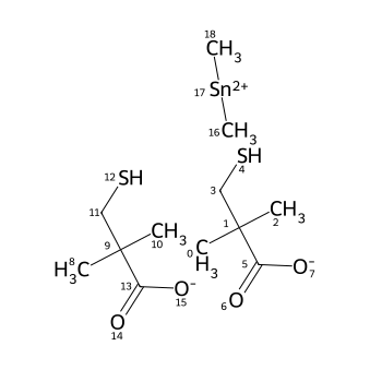 CC(C)(CS)C(=O)[O-].CC(C)(CS)C(=O)[O-].[CH3][Sn+2][CH3]